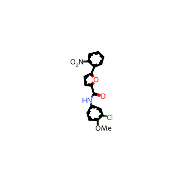 COc1ccc(NC(=O)c2ccc(-c3ccccc3[N+](=O)[O-])o2)cc1Cl